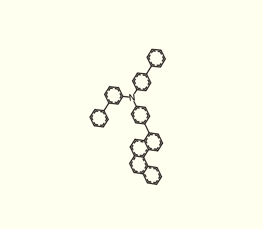 c1ccc(-c2ccc(N(c3ccc(-c4cccc5c4ccc4ccc6ccccc6c45)cc3)c3cccc(-c4ccccc4)c3)cc2)cc1